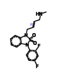 CNC/C=C/CN1c2ccccc2N(c2ccc(F)cc2F)S1(=O)=O